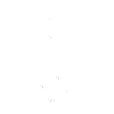 CC(C)[C@@H]1CN(c2ccc(-c3cnc(N)c(Cl)n3)cc2)CCO1